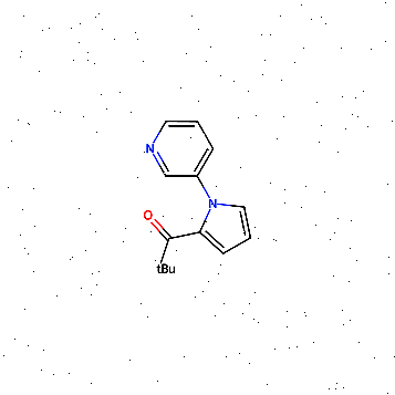 CC(C)(C)C(=O)c1cccn1-c1cccnc1